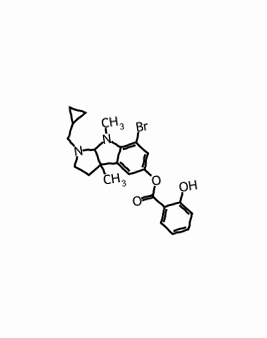 CN1c2c(Br)cc(OC(=O)c3ccccc3O)cc2C2(C)CCN(CC3CC3)C12